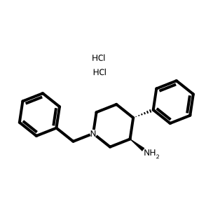 Cl.Cl.N[C@H]1CN(Cc2ccccc2)CC[C@@H]1c1ccccc1